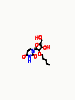 CCCCCOC1C(O)[C@H](CO)O[C@@H]1n1ccc(=O)[nH]c1=O